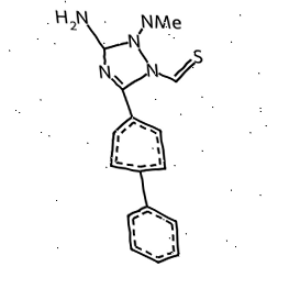 CNN1C(N)N=C(c2ccc(-c3ccccc3)cc2)N1C=S